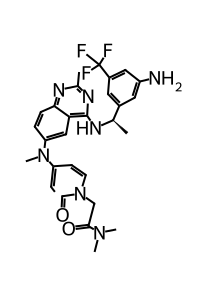 C/C=C(\C=C/N(C=O)CC(=O)N(C)C)N(C)c1ccc2nc(C)nc(N[C@H](C)c3cc(N)cc(C(F)(F)F)c3)c2c1